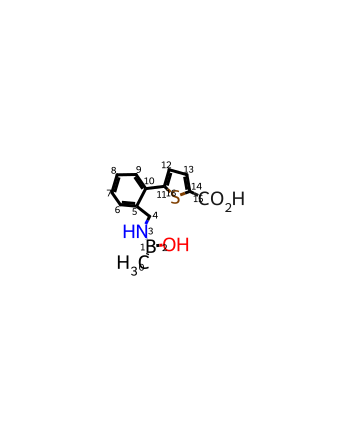 CB(O)NCc1ccccc1-c1ccc(C(=O)O)s1